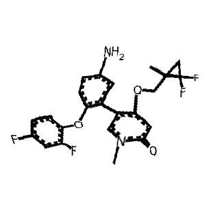 Cn1cc(-c2cc(N)ccc2Oc2ccc(F)cc2F)c(OCC2(C)CC2(F)F)cc1=O